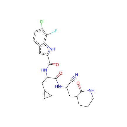 N#CC(CC1CCCNC1=O)NC(=O)C(CC1CC1)NC(=O)c1cc2ccc(Cl)c(F)c2[nH]1